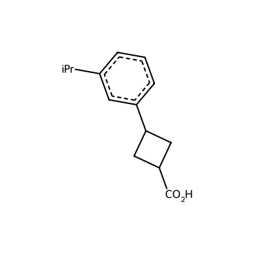 CC(C)c1cccc(C2CC(C(=O)O)C2)c1